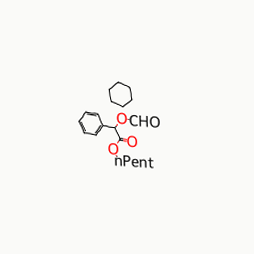 C1CCCCC1.CCCCCOC(=O)C(OC=O)c1ccccc1